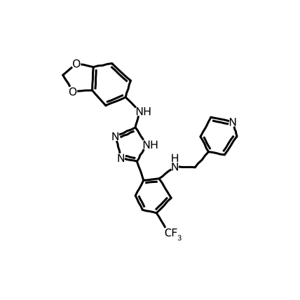 FC(F)(F)c1ccc(-c2nnc(Nc3ccc4c(c3)OCO4)[nH]2)c(NCc2ccncc2)c1